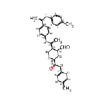 C=C(Cc1ccc(C)cc1)c1ccc(CC(=C)C2CCC(C(=O)CC3=CCC(C)=CC3)CC2C=O)cc1